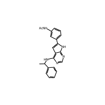 CC(=O)Nc1cccc(-c2cc3c(NC(C)c4ccccc4)ncnc3[nH]2)c1